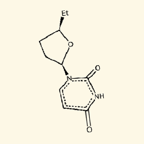 CC[C@@H]1CC[C@H](n2ccc(=O)[nH]c2=O)O1